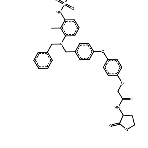 Cc1c(NS(C)(=O)=O)cccc1N(Cc1ccccc1)Cc1ccc(Oc2ccc(OCC(=O)NC3CCOC3=O)cc2)cc1